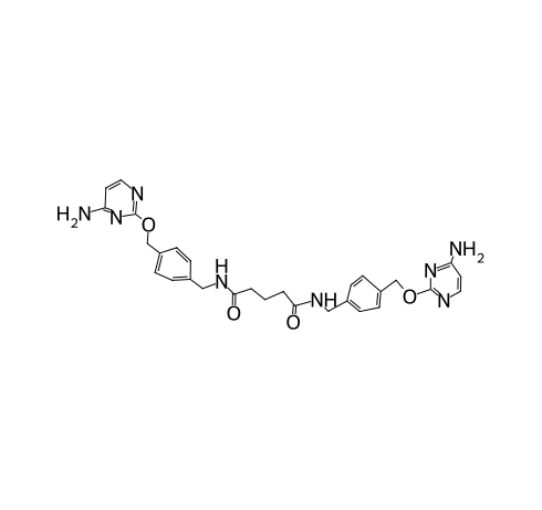 Nc1ccnc(OCc2ccc(CNC(=O)CCCC(=O)NCc3ccc(COc4nccc(N)n4)cc3)cc2)n1